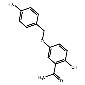 CC(=O)c1cc(OCc2ccc(C)cc2)ccc1O